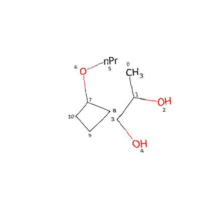 CC(O)CO.CCCOC1CCC1